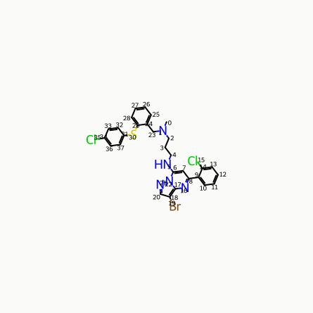 CN(CCCNc1cc(-c2ccccc2Cl)nc2c(Br)cnn12)Cc1ccccc1Sc1ccc(Cl)cc1